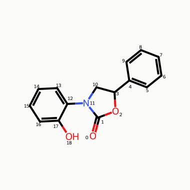 O=C1OC(c2ccccc2)CN1c1ccccc1O